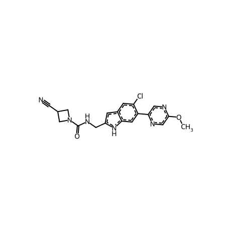 COc1cnc(-c2cc3[nH]c(CNC(=O)N4CC(C#N)C4)cc3cc2Cl)cn1